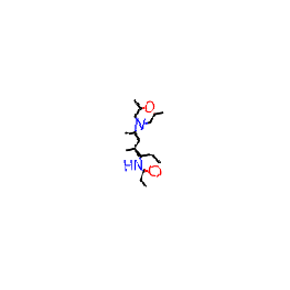 CCC(=O)N/C(CC)=C(\C)CC(C)N1CC(C)OC(C)C1